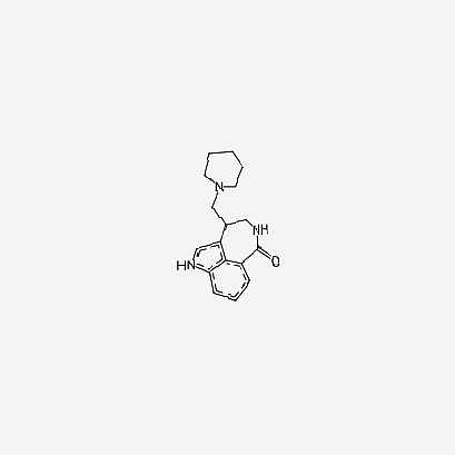 O=C1NCC(CN2CCCCC2)c2c[nH]c3cccc1c23